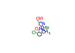 Cc1cccc(Cl)c1C(=O)n1nc(Br)c2ncc(CO)cc21